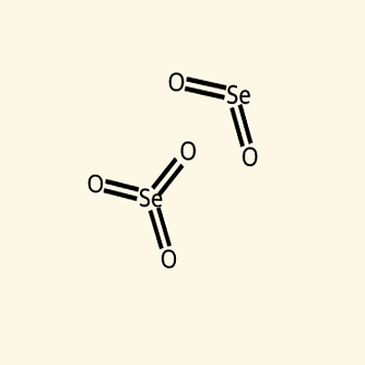 O=[Se](=O)=O.O=[Se]=O